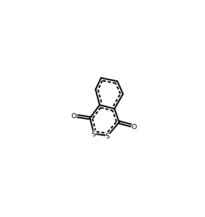 O=c1ssc(=O)c2ccccc12